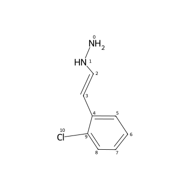 NNC=Cc1ccccc1Cl